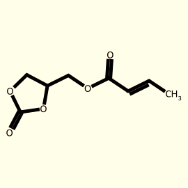 CC=CC(=O)OCC1COC(=O)O1